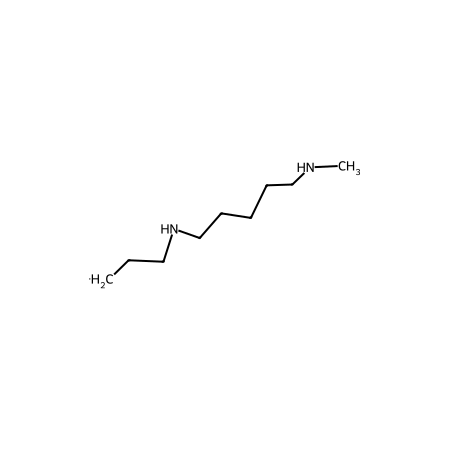 [CH2]CCNCCCCCNC